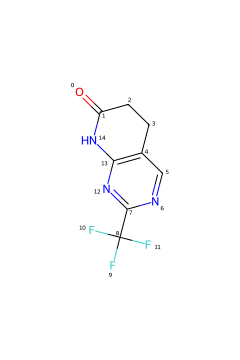 O=C1CCc2cnc(C(F)(F)F)nc2N1